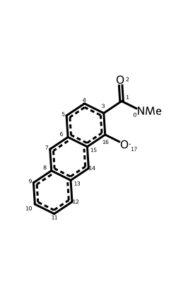 CNC(=O)c1ccc2cc3ccccc3cc2c1[O]